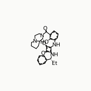 CC[C@@H](Nc1c(Nc2cccc(C(=O)N3CCN4CCCCC4C3)c2O)c(=O)c1=O)c1ccccc1